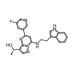 C[C@@H](O)c1cnn2c(NCCc3c[nH]c4ccccc34)cc(-c3cncc(F)c3)nc12